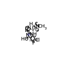 CN(C)C(=O)OCc1nonc1/C(=N/CO)Nc1ccc(F)c(Cl)c1